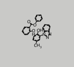 Cc1ccc(O)c(-n2nnc3ccccc32)c1.O=C(Oc1ccccc1)c1ccccc1O